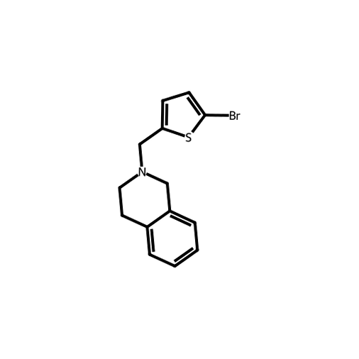 Brc1ccc(CN2CCc3ccccc3C2)s1